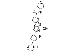 Cl.O=C(NC1CCOCC1)c1ccc2c(c1)sc1nc(-c3ccc(C4COCCN4)cc3F)cn12